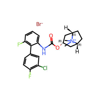 C[N+]1(C)[C@@H]2CC[C@H]1C[C@@H](OC(=O)Nc1cccc(F)c1-c1ccc(F)c(Cl)c1)C2.[Br-]